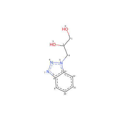 OCC(O)Cn1nnc2ccccc21